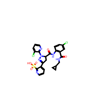 O=C(NCC1CC1)c1cc(Cl)ccc1NC(=O)C1CC(c2cccnc2S(=O)(=O)O)=NN1c1ncccc1Cl